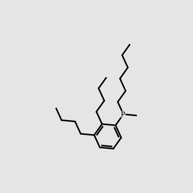 CCCCCCP(C)c1cccc(CCCC)c1CCCC